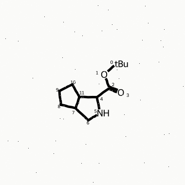 CC(C)(C)OC(=O)C1NCC2CCCC21